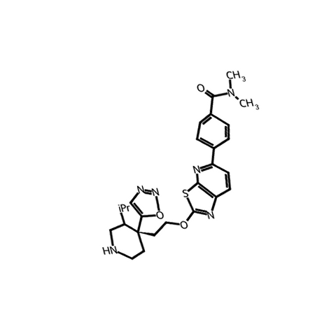 CC(C)C1CNCC[C@@]1(CCOc1nc2ccc(-c3ccc(C(=O)N(C)C)cc3)nc2s1)c1cnno1